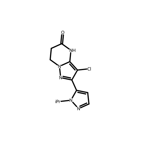 CC(C)n1nccc1-c1nn2c(c1Cl)NC(=O)CC2